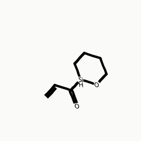 C=CC(=O)[SiH]1CCCCO1